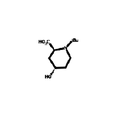 CC(C)(C)N1CC[C@H](O)C[C@H]1C(=O)O